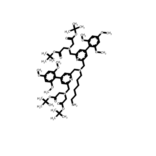 COc1cc(OC)c(-c2cc(CN(CC(=O)OC(C)(C)C)CC(=O)OC(C)(C)C)nc(CN(CCCCCCN)Cc3cc(-c4c(OC)cc(OC)cc4OC)cc(CN(CC(=O)OC(C)(C)C)CC(=O)OC(C)(C)C)n3)c2)c(OC)c1